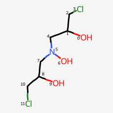 OC(CCl)CN(O)CC(O)CCl